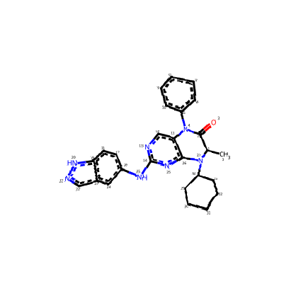 CC1C(=O)N(c2ccccc2)c2cnc(Nc3ccc4[nH]ncc4c3)nc2N1C1CCCCC1